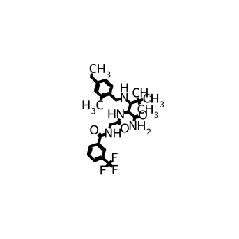 CCc1ccc(CNC(C(NC(=O)CNC(=O)c2cccc(C(F)(F)F)c2)C(N)=O)C(C)(C)C)c(C)c1